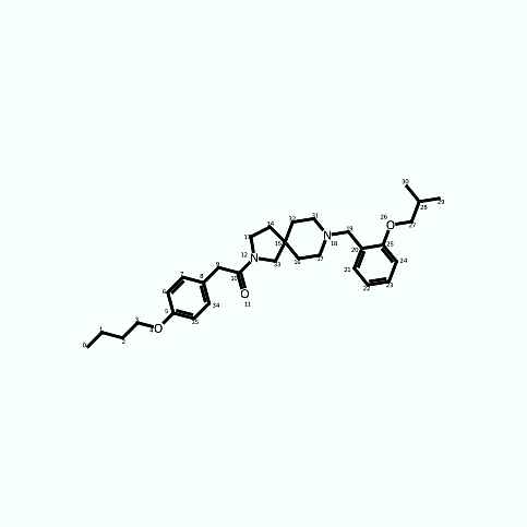 CCCCOc1ccc(CC(=O)N2CCC3(CCN(Cc4ccccc4OCC(C)C)CC3)C2)cc1